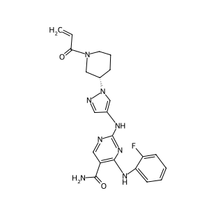 C=CC(=O)N1CCC[C@H](n2cc(Nc3ncc(C(N)=O)c(Nc4ccccc4F)n3)cn2)C1